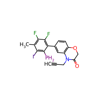 C#CCN1C(=O)COc2ccc(-c3c(F)c(F)c(C)c(I)c3P)cc21